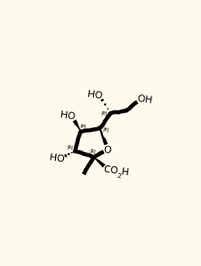 C[C@@]1(C(=O)O)O[C@H]([C@H](O)CO)[C@H](O)[C@H]1O